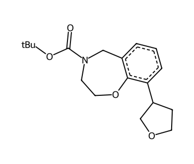 CC(C)(C)OC(=O)N1CCOc2c(cccc2C2CCOC2)C1